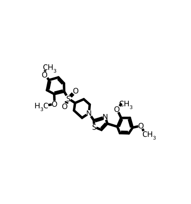 COc1ccc(-c2csc(N3CCC(S(=O)(=O)c4ccc(OC)cc4OC)CC3)n2)c(OC)c1